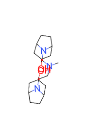 CN(CCN1C2CCC1CC(O)C2)CN1C2CCC1CC(O)C2